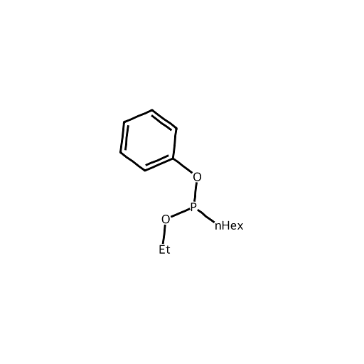 CCCCCCP(OCC)Oc1ccccc1